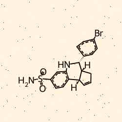 NS(=O)(=O)c1ccc2c(c1)N[C@H](c1ccc(Br)cc1)[C@@H]1CC=C[C@H]21